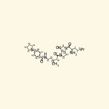 CC(C)CCC(N)C(=O)N1CC(=O)C2C1CCN2C(=O)CC(C)CCNC(=O)c1ccc(N2CCCC2)cc1